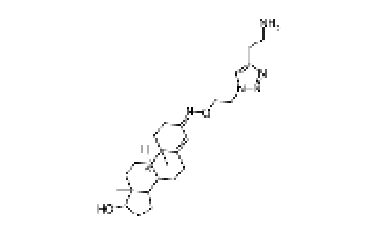 CC12CC[C@@H]3C(CCC4=CC(=NOCCn5cc(CCN)nn5)CCC43C)C1CCC2O